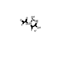 O=C(O)C(=O)F.O=C(O)C(=O)F.[K+].[O-]B(O)O